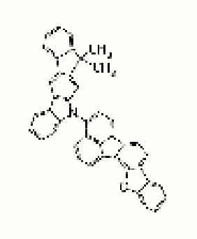 CC1(C)c2ccccc2-c2cc3c4ccccc4n(-c4ccc5c6c(cccc46)-c4c-5ccc5c4oc4ccccc45)c3cc21